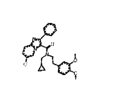 COc1ccc(CCN(CC2CC2)C(=O)c2c(-c3ccccc3)nc3ccc(Cl)cn23)cc1OC